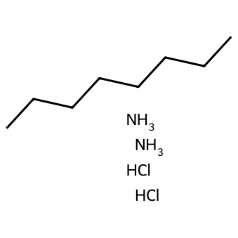 CCCCCCCC.Cl.Cl.N.N